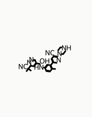 Cc1ccc(NC(O)c2cnnc(C(C)(C)C#N)c2)cc1-c1cnc(N2CCNCC2)c(C#N)c1